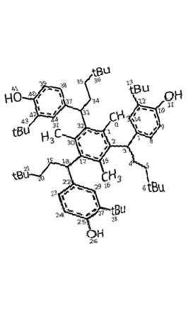 Cc1c(C(CCC(C)(C)C)c2ccc(O)c(C(C)(C)C)c2)c(C)c(C(CCC(C)(C)C)c2ccc(O)c(C(C)(C)C)c2)c(C)c1C(CCC(C)(C)C)c1ccc(O)c(C(C)(C)C)c1